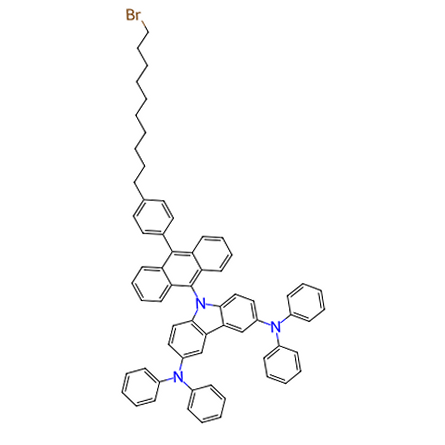 BrCCCCCCCCCCc1ccc(-c2c3ccccc3c(-n3c4ccc(N(c5ccccc5)c5ccccc5)cc4c4cc(N(c5ccccc5)c5ccccc5)ccc43)c3ccccc23)cc1